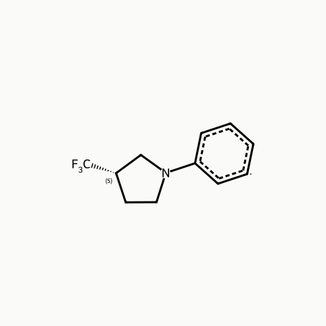 FC(F)(F)[C@H]1CCN(c2c[c]ccc2)C1